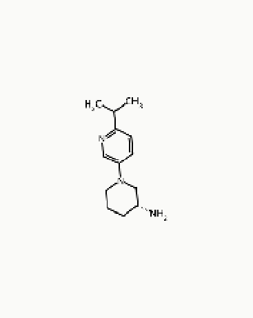 CC(C)c1ccc(N2CCC[C@@H](N)C2)cn1